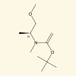 C=C(OC(C)(C)C)N(C)[C@@H](C)COC